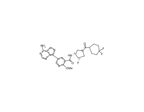 COc1ncc(-c2ccc3c(N)ncnn23)cc1C(=O)N[C@@H]1CN(C(=O)C2CCC(F)(F)CC2)C[C@@H]1F